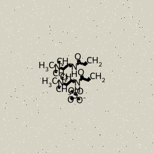 C=CC(=O)NCC[N+](C)(C)C.C=CC(=O)NCC[N+](C)(C)C.O=S(=O)([O-])[O-]